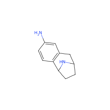 Nc1ccc2c(c1)CC1CCC2N1